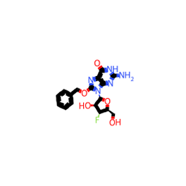 Nc1nc2c(nc(OCc3ccccc3)n2[C@@H]2O[C@@H](CO)[C@H](F)[C@H]2O)c(=O)[nH]1